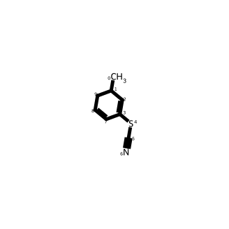 CC1C=C(SC#N)C=CC1